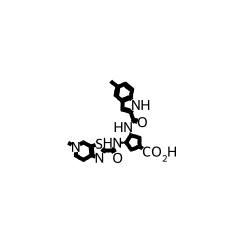 Cc1ccc2[nH]c(C(=O)N[C@@H]3CC(C(=O)O)C[C@H]3NC(=O)c3nc4c(s3)CN(C)CC4)cc2c1